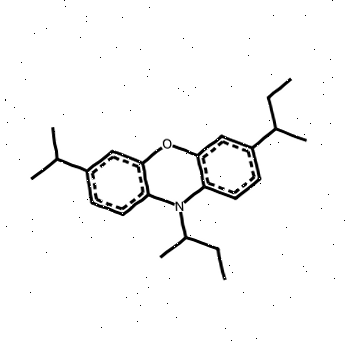 CCC(C)c1ccc2c(c1)Oc1cc(C(C)C)ccc1N2C(C)CC